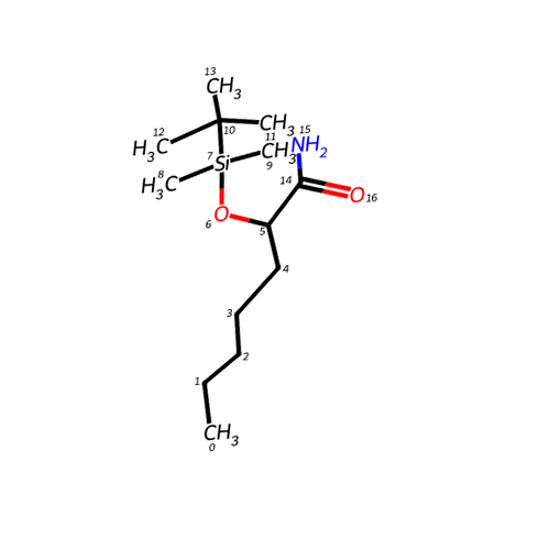 CCCCCC(O[Si](C)(C)C(C)(C)C)C(N)=O